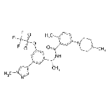 Cc1ccc(N2CCN(C)CC2)cc1C(=O)N[C@H](C)c1cc(OS(=O)(=O)C(F)(F)F)cc(-c2cnn(C)c2)c1